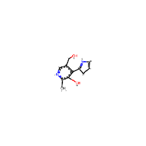 Cc1ncc(CO)c(C2=NC=CC2)c1O